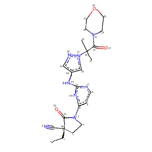 CC[C@]1(C#N)CCN(c2ccnc(Nc3cnn(C(C)(C)C(=O)N4CCOCC4)c3)n2)C1=O